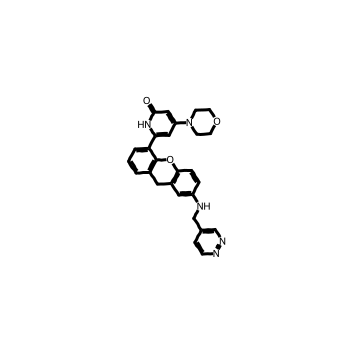 O=c1cc(N2CCOCC2)cc(-c2cccc3c2Oc2ccc(NCc4ccnnc4)cc2C3)[nH]1